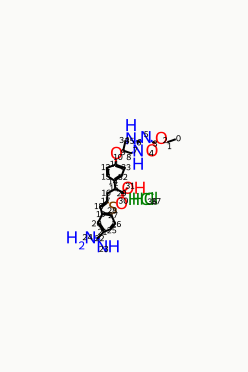 CCOC(=O)N=C1NCC(Oc2ccc(C(Cc3cc4cc(C(=N)N)ccc4s3)C(=O)O)cc2)CN1.Cl.Cl